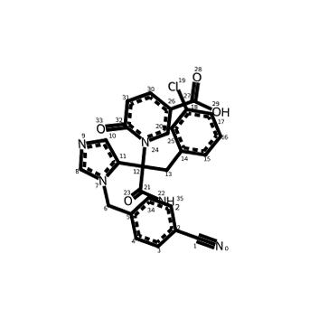 N#Cc1ccc(Cn2cncc2C(Cc2cccc(Cl)c2)(C(N)=O)n2cc(C(=O)O)ccc2=O)cc1